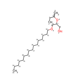 C=C(CC)OC(CO)COCCCCCCCCCCCCCCCC